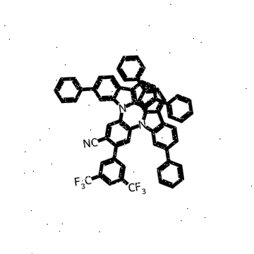 N#Cc1cc(-n2c3cc(-c4ccccc4)ccc3c3ccc(-c4ccccc4)cc32)c(-n2c3cc(-c4ccccc4)ccc3c3ccc(-c4ccccc4)cc32)cc1-c1cc(C(F)(F)F)cc(C(F)(F)F)c1